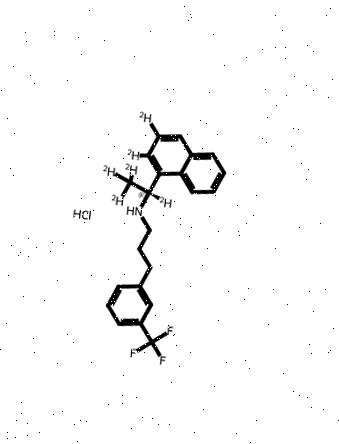 Cl.[2H]c1cc2ccccc2c([C@]([2H])(NCCCc2cccc(C(F)(F)F)c2)C([2H])([2H])[2H])c1[2H]